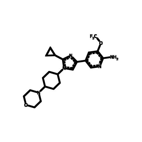 Nc1ncc(-c2cn(C3CCC(N4CCOCC4)CC3)c(C3CC3)n2)cc1OC(F)(F)F